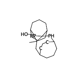 CC1(CO)CC2CCCC(CCC2)PC12PC1CCCC2CCC1